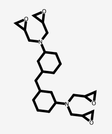 C1CC(CC2CCCC(N(CC3CO3)CC3CO3)C2)CC(N(CC2CO2)CC2CO2)C1